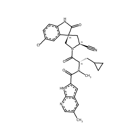 Cc1cnc2[nH]c(C(=O)N(C)[C@@H](CC3CC3)C(=O)N3C[C@]4(C[C@H]3C#N)C(=O)Nc3ccc(Cl)cc34)cc2c1